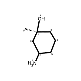 C[C@]1(O)CCCC(N)C1